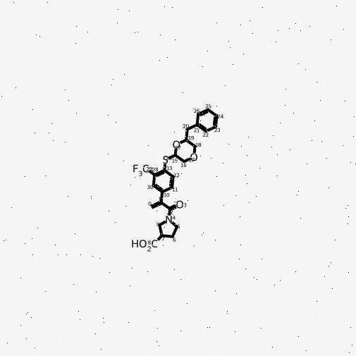 C=C(C(=O)N1CCC(C(=O)O)C1)c1ccc(SC2COCC(Cc3ccccc3)O2)c(C(F)(F)F)c1